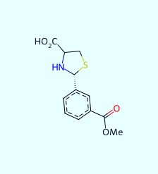 COC(=O)c1cccc([C@@H]2NC(C(=O)O)CS2)c1